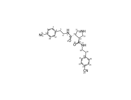 N#Cc1ccc(CCNC(=O)[C@@H]2CNC[C@H]2C(=O)NCCc2ccc(C#N)cc2)cc1